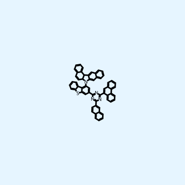 C1=CC2C(c3ccccc31)c1cc3ccccc3cc1N2c1cc(-c2nc(-c3ccc4ccccc4c3)nc(-c3cc4ccccc4c4ccccc34)n2)cc2sc3ccccc3c12